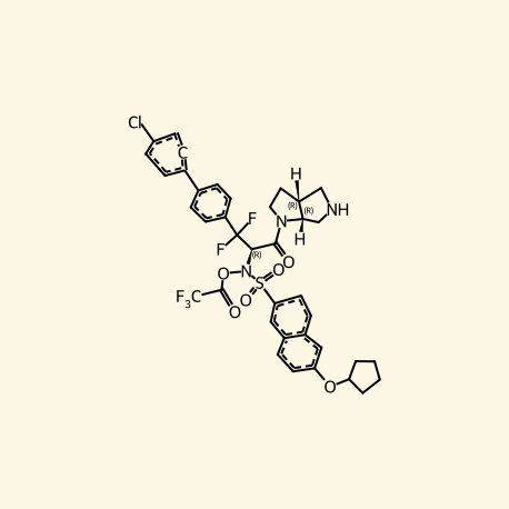 O=C([C@@H](N(OC(=O)C(F)(F)F)S(=O)(=O)c1ccc2cc(OC3CCCC3)ccc2c1)C(F)(F)c1ccc(-c2ccc(Cl)cc2)cc1)N1CC[C@@H]2CNC[C@@H]21